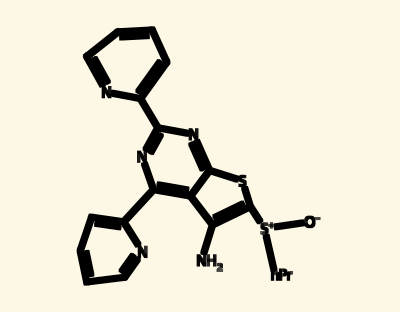 CCC[S+]([O-])c1sc2nc(-c3ccccn3)nc(-c3ccccn3)c2c1N